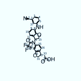 N#Cc1cccc(Nc2cccc3c2OC[C@H]3N(C(=O)C(F)(F)F)c2ccc3c(c2)OC[C@H]3CC(=O)O)c1